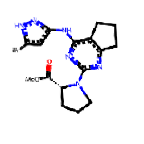 COC(=O)[C@H]1CCCN1c1nc2c(c(Nc3cc(C(C)C)[nH]n3)n1)CCC2